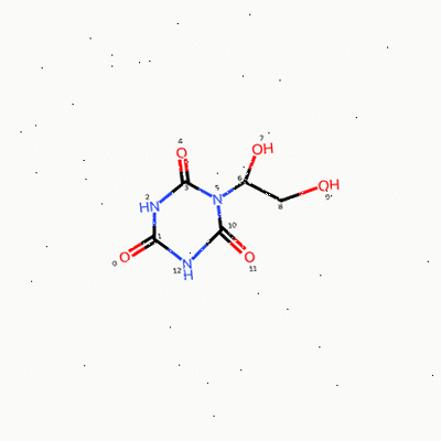 O=c1[nH]c(=O)n(C(O)CO)c(=O)[nH]1